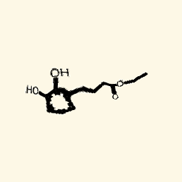 CCOC(=O)CCCc1cccc(O)c1O